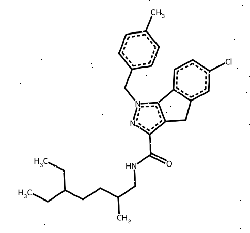 CCC(CC)CCC(C)CNC(=O)c1nn(Cc2ccc(C)cc2)c2c1Cc1cc(Cl)ccc1-2